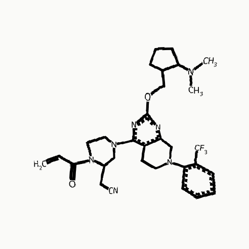 C=CC(=O)N1CCN(c2nc(OCC3CCCC3N(C)C)nc3c2CCN(c2ccccc2C(F)(F)F)C3)CC1CC#N